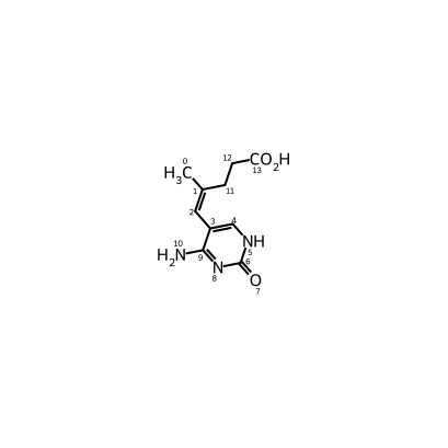 CC(=Cc1c[nH]c(=O)nc1N)CCC(=O)O